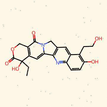 CCC1(O)C(=O)OCc2c1cc1n(c2=O)Cc2cc3c(CCO)c(O)ccc3nc2-1